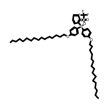 CCCCCCCCCCCCCCCCOc1ccc(S(OS(=O)(=O)C(F)(F)F)(c2ccccc2)c2ccc(OCCCCCCCCCCCCCCCC)cc2)cc1